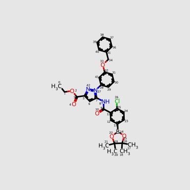 CCOC(=O)c1cc(NC(=O)c2cc(B3OC(C)(C)C(C)(C)O3)ccc2Cl)n(-c2cccc(OCc3ccccc3)c2)n1